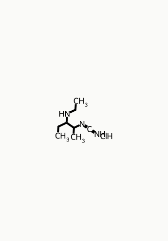 CCNC(CC)C(C)N=C=N.Cl